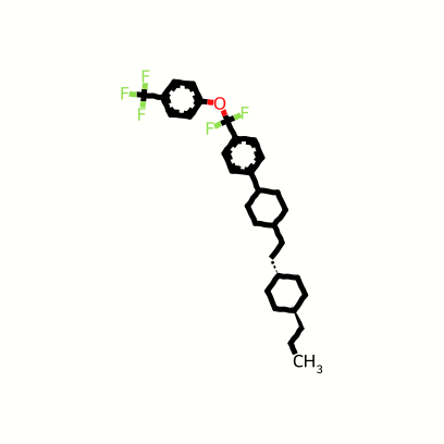 CCC[C@H]1CC[C@H](CCC2CCC(c3ccc(C(F)(F)Oc4ccc(C(F)(F)F)cc4)cc3)CC2)CC1